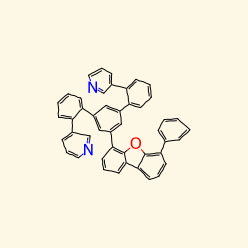 c1ccc(-c2cccc3c2oc2c(-c4cc(-c5ccccc5-c5cccnc5)cc(-c5ccccc5-c5cccnc5)c4)cccc23)cc1